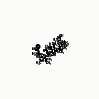 CC[C@H](C)[C@H](NC(=O)[C@H](CC(C)C)NC(=O)[C@@H](N)Cc1c[nH]c2ccccc12)C(=O)N[C@@H](CCC(N)=O)C(=O)N[C@@H](Cc1c[nH]cn1)C(=O)N[C@@H](CCCCN)C(=O)N[C@H](C(=O)N[C@H](C(=O)N[C@@H](CC(=O)O)C(N)=O)[C@@H](C)O)[C@@H](C)CC